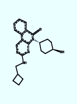 O=c1c2ccccc2c2cnc(NCC3CCC3)nc2n1[C@H]1CC[C@H](O)CC1